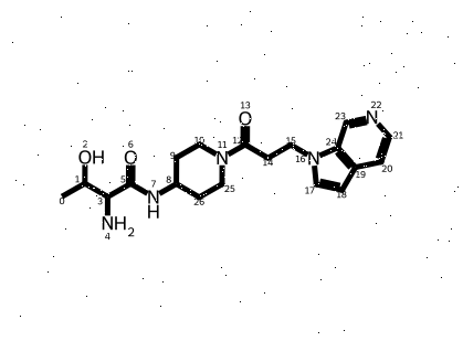 CC(O)C(N)C(=O)NC1CCN(C(=O)CCn2ccc3ccncc32)CC1